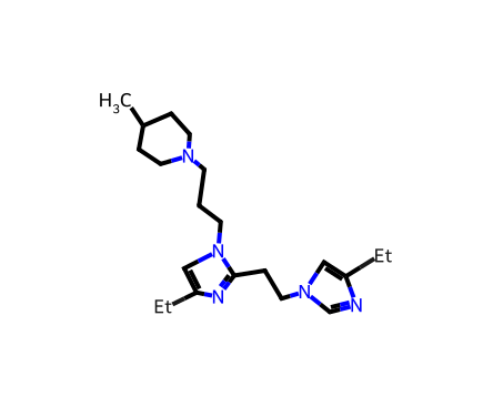 CCc1cn(CCc2nc(CC)cn2CCCN2CCC(C)CC2)cn1